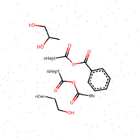 CC(O)CO.CCCCCCCC(=O)OC(=O)C(C)(C)C.CCCCCCCC(=O)OC(=O)c1ccccc1.CCCCCCCCCCCCO